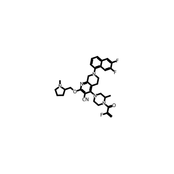 C=C(F)C(=O)N1CCN(c2c(C#N)c(OCC3CCCN3C)nc3c2CCN(c2cccc4cc(F)c(F)cc24)C3)CC1C